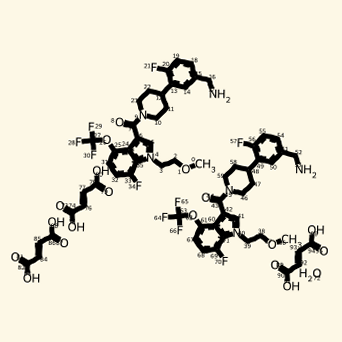 COCCn1cc(C(=O)N2CCC(c3cc(CN)ccc3F)CC2)c2c(OC(F)(F)F)ccc(F)c21.COCCn1cc(C(=O)N2CCC(c3cc(CN)ccc3F)CC2)c2c(OC(F)(F)F)ccc(F)c21.O.O=C(O)C=CC(=O)O.O=C(O)C=CC(=O)O.O=C(O)C=CC(=O)O